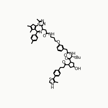 CC1=C(C)C2=C(C1)n1c(C)nnc1C(CC(=O)NCCCOc1cccc(CC(=O)N[C@H](C(=O)C3CC(O)CC3C(=O)CCc3ccc(C4=C(C)NCS4)cc3)C(C)(C)C)c1)N=C2c1ccc(C)cc1